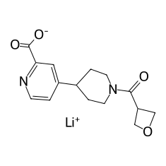 O=C([O-])c1cc(C2CCN(C(=O)C3COC3)CC2)ccn1.[Li+]